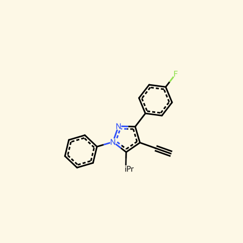 C#Cc1c(-c2ccc(F)cc2)nn(-c2ccccc2)c1C(C)C